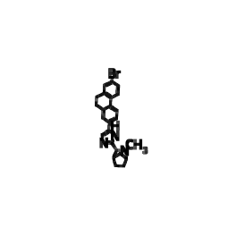 CN1C2CCC(C2)[C@H]1c1ncc(-c2ccc3c(c2)CCc2cc(Br)ccc2-3)[nH]1